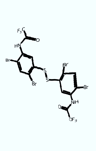 O=C(Nc1cc(SSc2cc(NC(=O)C(F)(F)F)c(Br)cc2Br)c(Br)cc1Br)C(F)(F)F